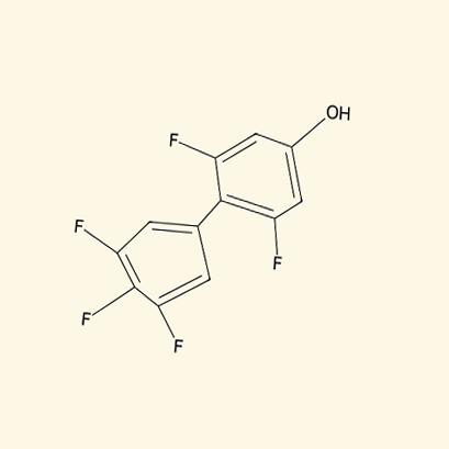 Oc1cc(F)c(-c2cc(F)c(F)c(F)c2)c(F)c1